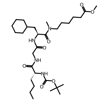 CCCC[C@@H](NC(=O)OC(C)(C)C)C(=O)NCC(=O)N[C@@H](CC1CCCCC1)C(=O)N(C)CCCCCC(=O)OC